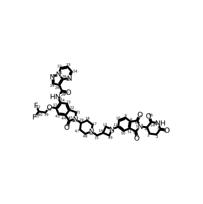 O=C1CCC(N2C(=O)c3ccc(N4CC(CN5CCC(N6Cc7cc(NC(=O)c8cnn9cccnc89)c(OCC(F)F)cc7C6=O)CC5)C4)cc3C2=O)C(=O)N1